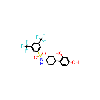 O=S(=O)(N[C@H]1CC[C@H](c2ccc(O)cc2O)CC1)c1cc(C(F)(F)F)cc(C(F)(F)F)c1